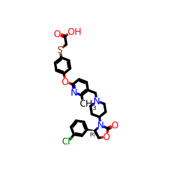 Cc1nc(Oc2ccc(SCC(=O)O)cc2)ccc1CN1CCC(N2C(=O)OC[C@H]2c2cccc(Cl)c2)CC1